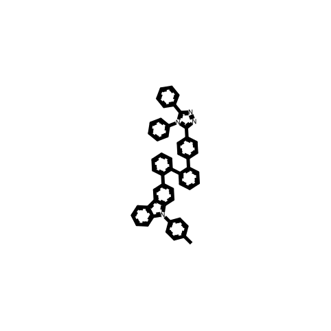 Cc1ccc(-n2c3ccccc3c3cc(-c4ccccc4-c4ccccc4-c4ccc(-c5nnc(-c6ccccc6)n5-c5ccccc5)cc4)ccc32)cc1